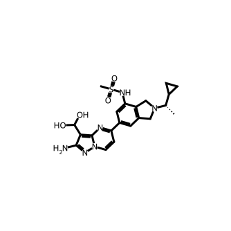 C[C@@H](C1CC1)N1Cc2cc(-c3ccn4nc(N)c(C(O)O)c4n3)cc(NS(C)(=O)=O)c2C1